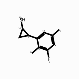 Cc1cc(F)c(C)c(C2CC2S)c1